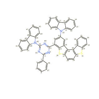 c1ccc(-c2nc(-c3cc(-n4c5ccccc5c5ccccc54)cc4c3sc3ccc5sc6ccccc6c5c34)nc(-n3c4ccccc4c4ccccc43)n2)cc1